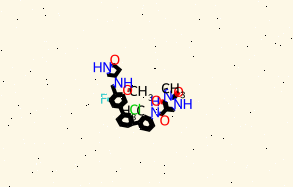 COc1cc(-c2cccc(-c3cccc(NC(=O)c4c[nH]c(=O)n(C)c4=O)c3C)c2Cl)cc(F)c1CN[C@@H]1CNC(=O)C1